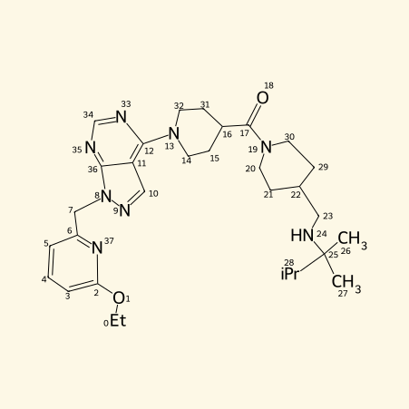 CCOc1cccc(Cn2ncc3c(N4CCC(C(=O)N5CCC(CNC(C)(C)C(C)C)CC5)CC4)ncnc32)n1